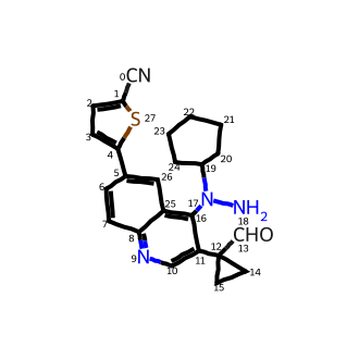 N#Cc1ccc(-c2ccc3ncc(C4(C=O)CC4)c(N(N)C4CCCCC4)c3c2)s1